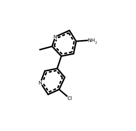 Cc1ncc(N)cc1-c1cncc(Cl)c1